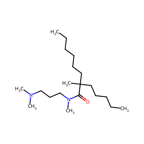 CCCCCCC(C)(CCCCC)C(=O)N(C)CCCN(C)C